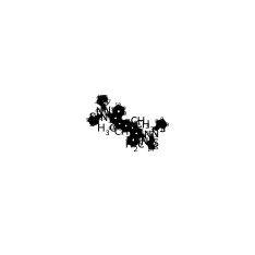 C=N/C(=N\C(=N/Cc1cccs1)c1cccs1)c1cc2c(c3ccccc13)-c1cc3c(cc1C2(C)C)-c1c(cc(-c2nc(-c4cccs4)nc(-c4cccs4)n2)c2ccccc12)C3(C)C